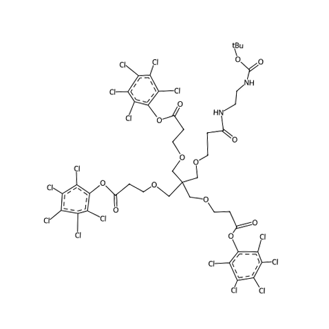 CC(C)(C)OC(=O)NCCNC(=O)CCOCC(COCCC(=O)Oc1c(Cl)c(Cl)c(Cl)c(Cl)c1Cl)(COCCC(=O)Oc1c(Cl)c(Cl)c(Cl)c(Cl)c1Cl)COCCC(=O)Oc1c(Cl)c(Cl)c(Cl)c(Cl)c1Cl